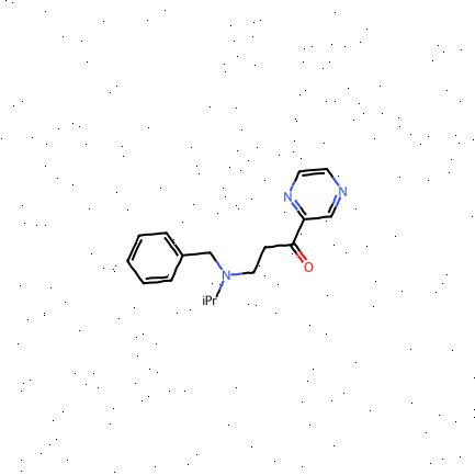 CC(C)N(CCC(=O)c1cnccn1)Cc1ccccc1